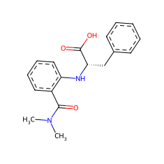 CN(C)C(=O)c1ccccc1N[C@@H](Cc1ccccc1)C(=O)O